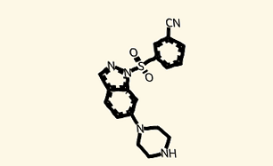 N#Cc1cccc(S(=O)(=O)n2ncc3ccc(N4CCNCC4)cc32)c1